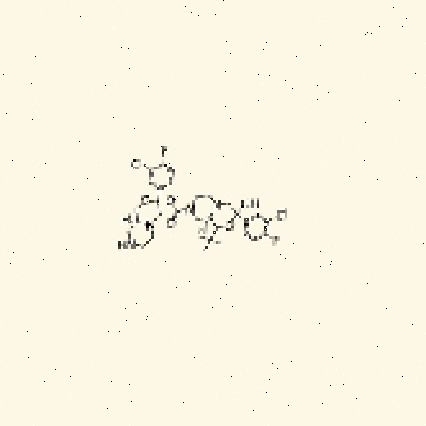 CC(C)(C)C1O[C@](O)(c2ccc(F)c(Cl)c2)CN2CCN(C(=O)O[C@]3(c4ccc(F)c(Cl)c4)CN4CCNC[C@H]4CO3)C[C@@H]12